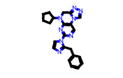 c1ccc(Cc2nccn2-c2ncc3c(n2)N(C2CCCC2)Cc2nncn2-3)cc1